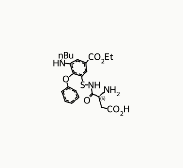 CCCCNc1cc(C(=O)OCC)cc(SNC(=O)[C@@H](N)CC(=O)O)c1Oc1ccccc1